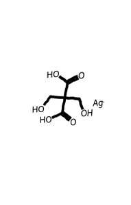 O=C(O)C(CO)(CO)C(=O)O.[Ag]